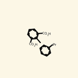 CC(C)c1ccccc1.Cc1c(C(=O)O)cccc1C(=O)O